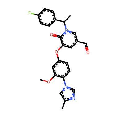 COc1cc(Oc2cc(C=O)cn(C(C)c3ccc(F)cc3)c2=O)ccc1-n1cnc(C)c1